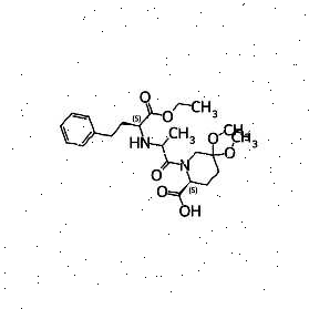 CCOC(=O)[C@H](CCc1ccccc1)NC(C)C(=O)N1CC(OC)(OC)CC[C@H]1C(=O)O